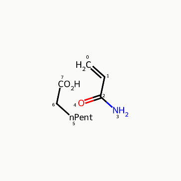 C=CC(N)=O.CCCCCCC(=O)O